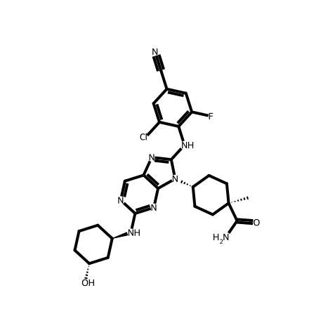 C[C@]1(C(N)=O)CC[C@H](n2c(Nc3c(F)cc(C#N)cc3Cl)nc3cnc(N[C@@H]4CCC[C@@H](O)C4)nc32)CC1